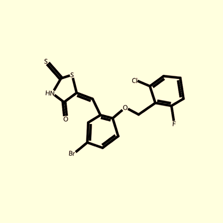 O=C1NC(=S)SC1=Cc1cc(Br)ccc1OCc1c(F)cccc1Cl